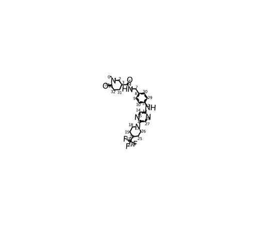 CN1CC(C(=O)NCc2ccc(Nc3cnc(N4CCC(C(F)(F)F)CC4)cn3)cc2)CCC1=O